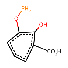 O=C(O)c1cccc(OP)c1O